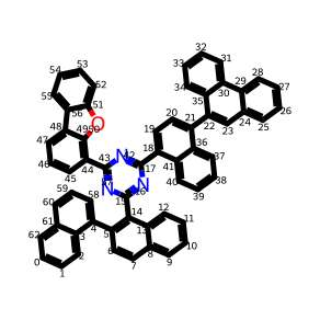 c1ccc2c(-c3ccc4ccccc4c3-c3nc(-c4ccc(-c5cc6ccccc6c6ccccc56)c5ccccc45)nc(-c4cccc5c4oc4ccccc45)n3)cccc2c1